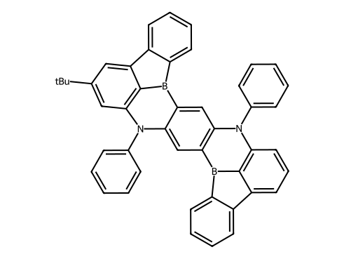 CC(C)(C)c1cc2c3c(c1)N(c1ccccc1)c1cc4c(cc1B3c1ccccc1-2)N(c1ccccc1)c1cccc2c1B4c1ccccc1-2